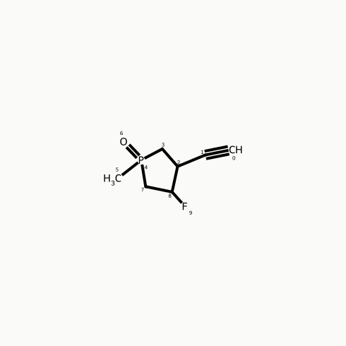 C#CC1CP(C)(=O)CC1F